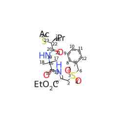 CCOC(=O)[C@@H](CS(=O)(=O)Cc1ccccc1)NC(=O)C(C)(C)NC(=O)[C@@H](SC(C)=O)C(C)C